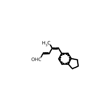 CC(=C/c1ccc2c(c1)CCC2)/C=C/C=O